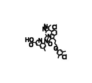 Cc1cc(N2CC(C)n3c(c(CCCOc4cc(C)c(Cl)c(C)c4)c4ccc(Cl)c(-c5c(C)nn(C)c5C)c43)C2=O)c2ncc(C(=O)O)cc2c1